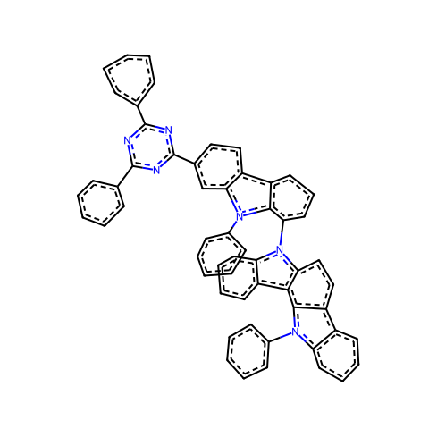 c1ccc(-c2nc(-c3ccccc3)nc(-c3ccc4c5cccc(-n6c7ccccc7c7c6ccc6c8ccccc8n(-c8ccccc8)c67)c5n(-c5ccccc5)c4c3)n2)cc1